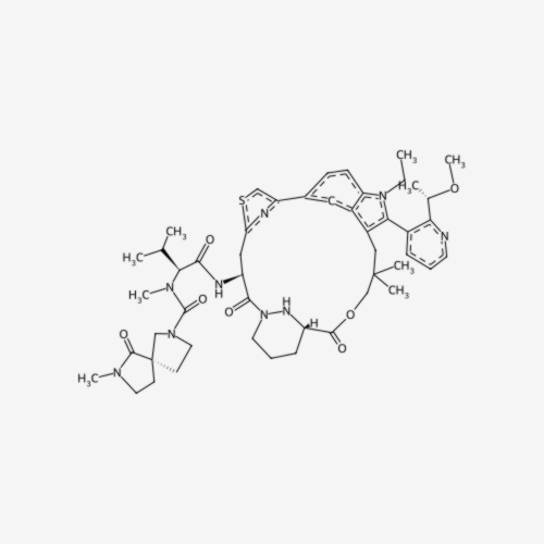 CCn1c(-c2cccnc2[C@H](C)OC)c2c3cc(ccc31)-c1csc(n1)C[C@H](NC(=O)[C@H](C(C)C)N(C)C(=O)N1CC[C@@]3(CCN(C)C3=O)C1)C(=O)N1CCC[C@H](N1)C(=O)OCC(C)(C)C2